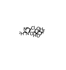 [2H]c1ncc(Cl)c(O[C@@H]2CO[C@H]3[C@@H]2OC[C@H]3F)n1